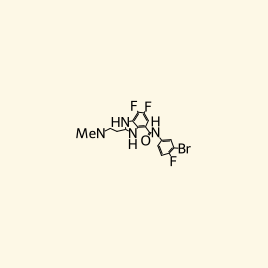 CNCCC1Nc2c(C(=O)Nc3ccc(F)c(Br)c3)cc(F)c(F)c2N1